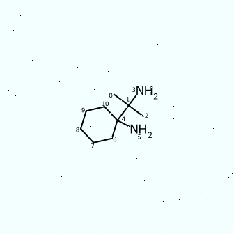 CC(C)(N)C1(N)CCCCC1